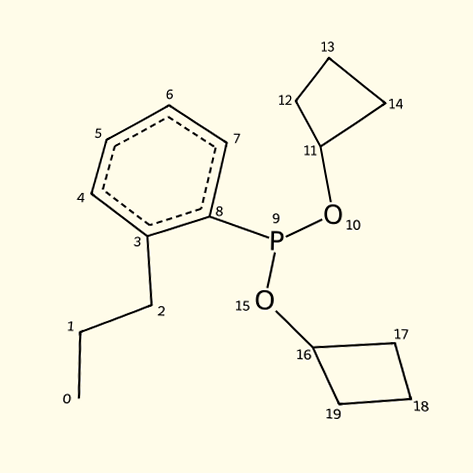 CCCc1ccccc1P(OC1CCC1)OC1CCC1